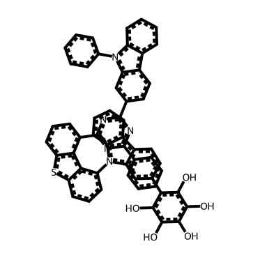 Oc1c(O)c(O)c(-c2ccc3c4ccccc4n(-c4cccc5sc6cccc(-c7nc(-c8ccccc8)nc(-c8ccc9c%10ccccc%10n(-c%10ccccc%10)c9c8)n7)c6c45)c3c2)c(O)c1O